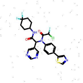 O=C(NC1CCC(F)(F)CC1)C(c1cncnc1)N(C(=O)C(F)Cl)c1ccc(-c2cncs2)cc1